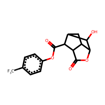 O=C(Oc1ccc(C(F)(F)F)cc1)C1C2CC3C(OC(=O)C31)C2O